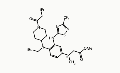 CCC(C)CN(c1ccc([C@H](C)CC(=O)OC)cc1Nc1nc(C(F)(F)F)ns1)C1CCN(C(=O)CC(C)C)CC1